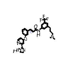 CN(C)CCCc1cc(NC(=O)/C=C/c2cccc(Oc3ccnc(C4=NCCN4)c3)c2)cc(C(F)(F)F)c1